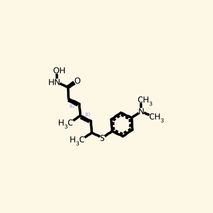 CC(/C=C/C(=O)NO)=C\C(C)Sc1ccc(N(C)C)cc1